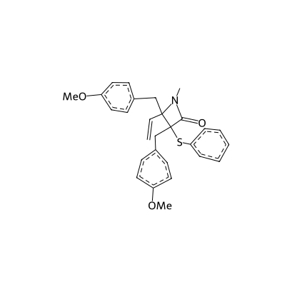 C=CC1(Cc2ccc(OC)cc2)N(C)C(=O)C1(Cc1ccc(OC)cc1)Sc1ccccc1